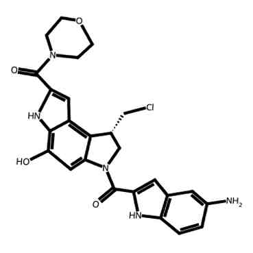 Nc1ccc2[nH]c(C(=O)N3C[C@@H](CCl)c4c3cc(O)c3[nH]c(C(=O)N5CCOCC5)cc43)cc2c1